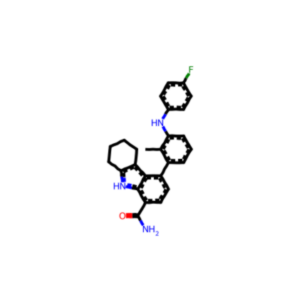 Cc1c(Nc2ccc(F)cc2)cccc1-c1ccc(C(N)=O)c2[nH]c3c(c12)CCCC3